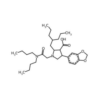 CCCCN(CCCC)C(=O)CN1CC(c2ccc3c(c2)OCO3)C(C(=O)O)C1CC(CCC)CCC